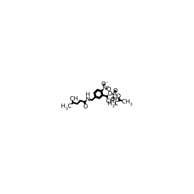 CC(C)CCC(=O)NCc1ccc([N+](=O)[O-])c(C(C)OP(=O)(O)OC(C)C)c1